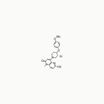 CC[C@@H]1CN(c2cc(=O)n(C)c3ccc(C#N)nc23)CC[C@H]1Oc1ccc(OC(C)(C)C)cc1